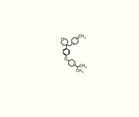 CC(C)N1CCC(Oc2ccc(C3(CN4CCN(C)CC4)CCOCC3)cc2)CC1